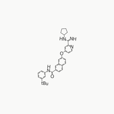 CC(C)(C)c1cccc(NC(=O)c2ccc3ccc(Oc4ccnc(C(=N)NC5CCCC5)c4)cc3c2)c1